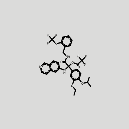 CCOc1cc(C(Nc2ccc3cnccc3c2)(OC(=O)C(F)(F)F)C(=O)NCc2ccccc2SC(F)(F)F)ccc1OC(C)C